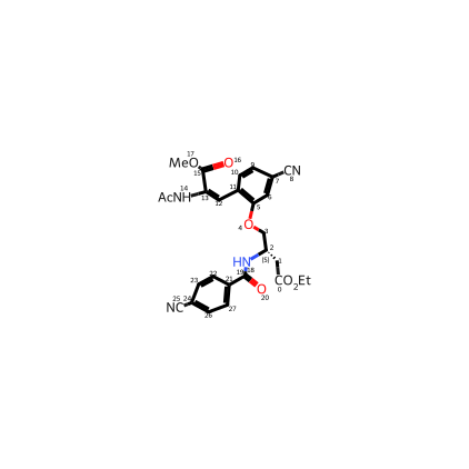 CCOC(=O)C[C@@H](COc1cc(C#N)ccc1C=C(NC(C)=O)C(=O)OC)NC(=O)c1ccc(C#N)cc1